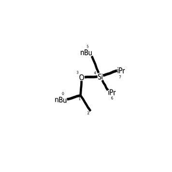 CCCCC(C)O[Si](CCCC)(C(C)C)C(C)C